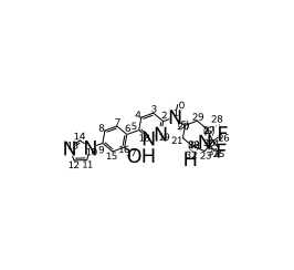 CN(c1ccc(-c2ccc(-n3ccnc3)cc2O)nn1)[C@H]1C[C@@H]2CC(F)(F)[C@](C)(C1)N2C